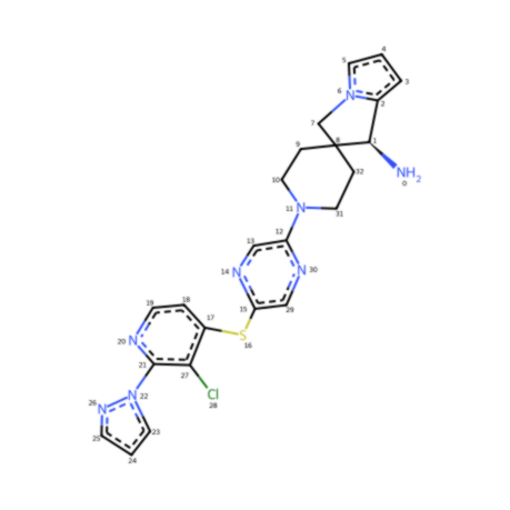 N[C@@H]1c2cccn2CC12CCN(c1cnc(Sc3ccnc(-n4cccn4)c3Cl)cn1)CC2